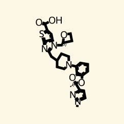 Cn1ccc([C@]2(C)Oc3cccc(N4CCC(Cc5nc6sc(C(=O)O)cc6n5C[C@@H]5CCO5)CC4)c3O2)n1